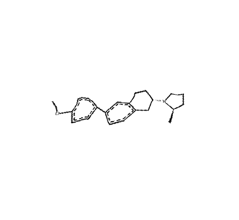 COc1ccc(-c2ccc3c(c2)CC[C@H](N2CCC[C@H]2C)C3)cc1